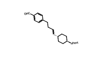 CCCCC[C@H]1CC[C@H](C=CCCc2ccc(C=O)cc2)CC1